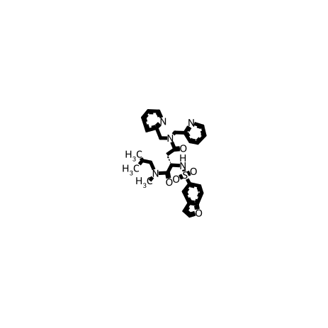 CC(C)CN(C)C(=O)[C@H](CC(=O)N(Cc1ccccn1)Cc1ccccn1)NS(=O)(=O)c1ccc2occc2c1